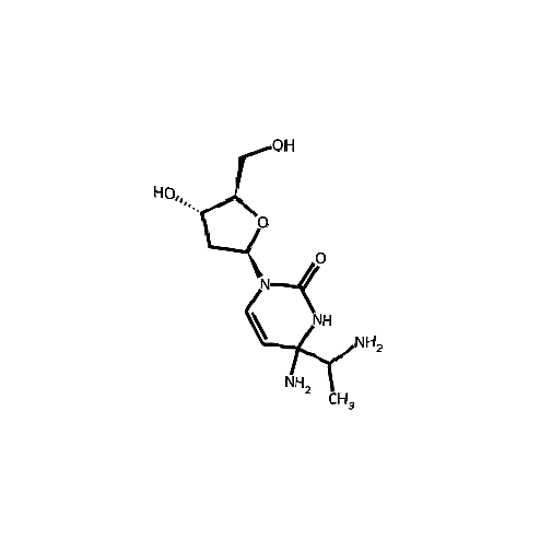 CC(N)C1(N)C=CN([C@H]2C[C@H](O)[C@@H](CO)O2)C(=O)N1